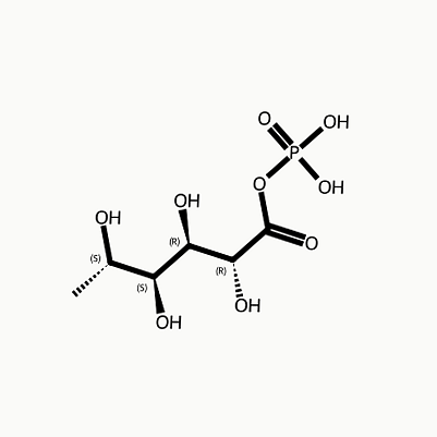 C[C@H](O)[C@H](O)[C@@H](O)[C@@H](O)C(=O)OP(=O)(O)O